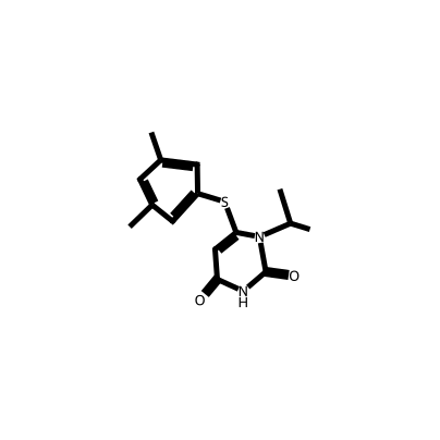 Cc1cc(C)cc(Sc2cc(=O)[nH]c(=O)n2C(C)C)c1